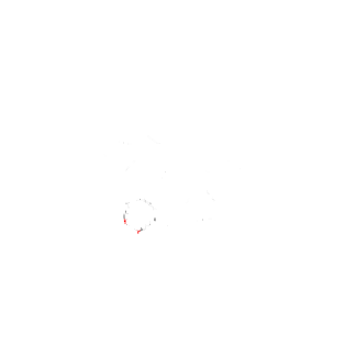 CC1=C2CCC3=C(C)c4ccccc4[CH]3[Zr]([O]c3ccccc3F)([O]c3ccccc3F)[CH]2c2ccccc21